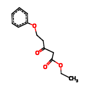 CCOC(=O)CC(=O)CCOc1ccccc1